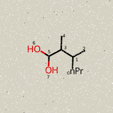 CCCC(C)C(C)C(O)O